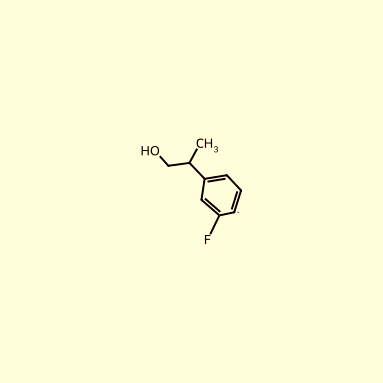 CC(CO)c1cc[c]c(F)c1